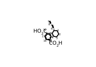 C1CCCCC1.C=C.C=C.O=C(O)c1ccc(C(=O)O)cc1